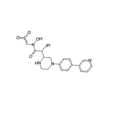 CC(C)C(C(=O)N(O)C=S(=O)=O)C1CN(c2ccc(-c3cccnc3)cc2)CCN1